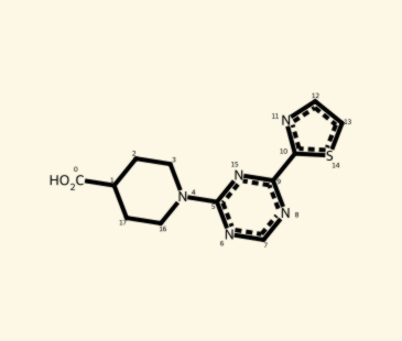 O=C(O)C1CCN(c2ncnc(-c3nccs3)n2)CC1